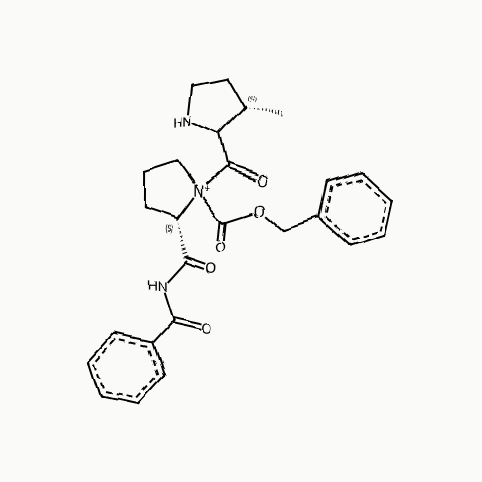 C[C@H]1CCNC1C(=O)[N+]1(C(=O)OCc2ccccc2)CCC[C@H]1C(=O)NC(=O)c1ccccc1